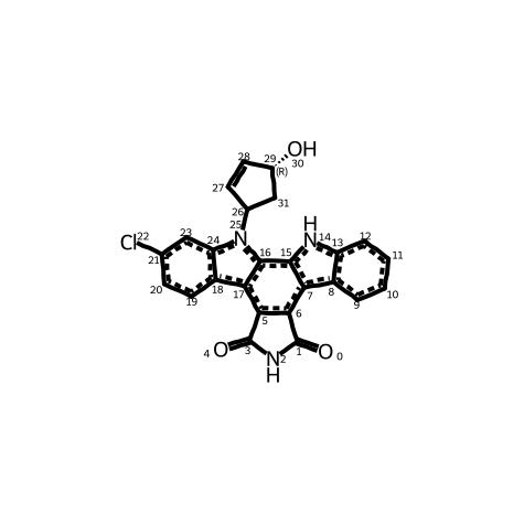 O=C1NC(=O)c2c1c1c3ccccc3[nH]c1c1c2c2ccc(Cl)cc2n1C1C=C[C@H](O)C1